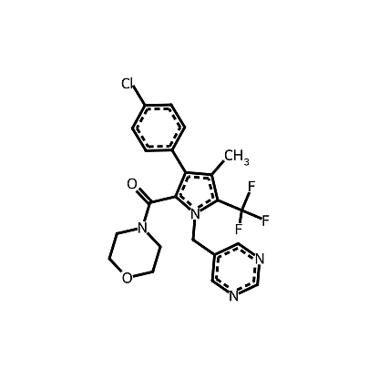 Cc1c(-c2ccc(Cl)cc2)c(C(=O)N2CCOCC2)n(Cc2cncnc2)c1C(F)(F)F